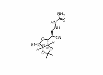 CC[C@H]1OC(C(C#N)=CNNC(N)=S)[C@@H]2OC(C)(C)O[C@H]12